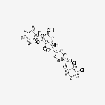 O=C(O)C[C@H](NC(=O)C1CCN(C(=O)Oc2cccc(Cl)c2Cl)CC1)C(=O)COc1c(F)c(F)cc(F)c1F